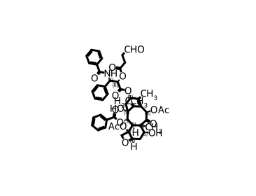 CC(=O)O[C@H]1C(=O)[C@@]2(C)[C@H]([C@H](OC(=O)c3ccccc3)[C@]3(O)C[C@H](OC(=O)[C@H](OC(=O)CCC=O)[C@@H](NC(=O)c4ccccc4)c4ccccc4)C(C)=C1C3(C)C)[C@]1(OC(C)=O)CO[C@@H]1C[C@@H]2O